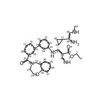 CCOC(=O)/C(C=N)=C(/Nc1cccc(-c2cccc(C(=O)N3CCOc4ccccc4C3)c2)c1)[C@@H]1CC1/C(N)=C/NC